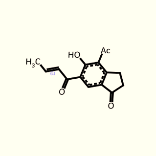 C/C=C/C(=O)c1cc2c(c(C(C)=O)c1O)CCC2=O